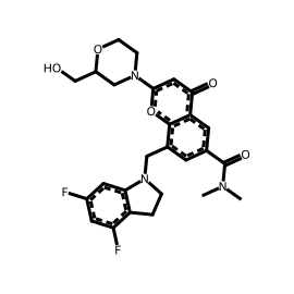 CN(C)C(=O)c1cc(CN2CCc3c(F)cc(F)cc32)c2oc(N3CCOC(CO)C3)cc(=O)c2c1